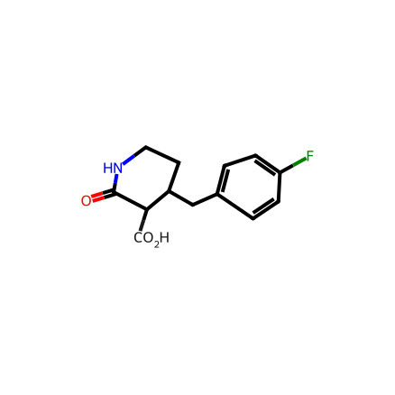 O=C(O)C1C(=O)NCCC1Cc1ccc(F)cc1